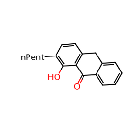 CCCCCc1ccc2c(c1O)C(=O)c1ccccc1C2